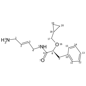 NC/C=C/CNC(=O)[C@H](Cc1ccccc1)OCC1CC1